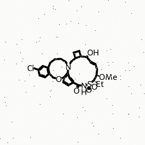 CC[C@H]1[C@H](OC)C/C=C/C(O)C2CCC2CN2CCCCc3cc(Cl)ccc3COc3ccc(cc32)C(=O)NS1(=O)=O